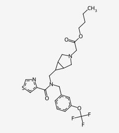 CCCCOC(=O)CN1CC2C(C1)C2CN(Cc1cccc(OC(F)(F)F)c1)C(=O)c1cscn1